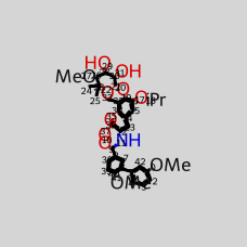 COc1cccc(-c2cc(C(=O)Nc3cc4cc(OC(C)C)c(OC5OC(C)(C)C(OC)C(O)C5O)c(C)c4oc3=O)ccc2OC)c1